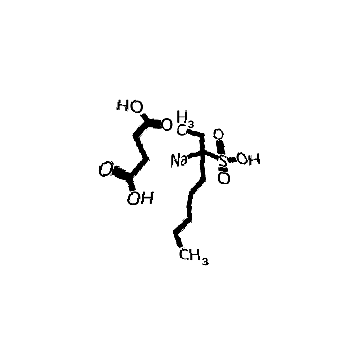 CCCCC[C]([Na])(CC)S(=O)(=O)O.O=C(O)CCC(=O)O